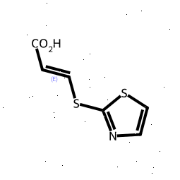 O=C(O)/C=C/Sc1nccs1